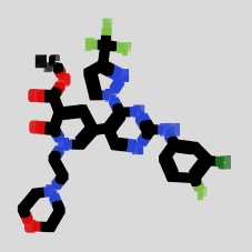 COC(=O)c1cc(-c2cnc(Nc3ccc(F)c(Cl)c3)nc2-n2ccc(C(F)(F)F)n2)cn(CCN2CCOCC2)c1=O